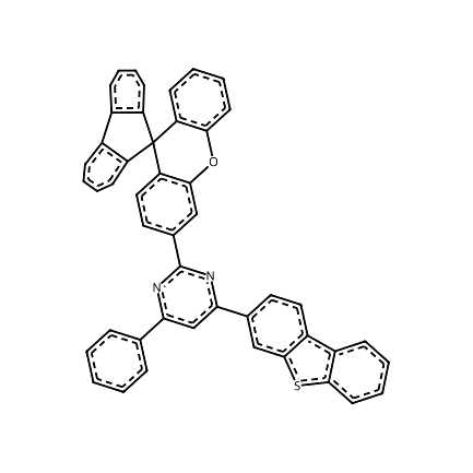 c1ccc(-c2cc(-c3ccc4c(c3)sc3ccccc34)nc(-c3ccc4c(c3)Oc3ccccc3C43c4ccccc4-c4ccccc43)n2)cc1